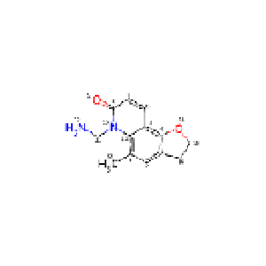 Cc1cc2c(c3ccc(=O)n(CN)c13)OCC2